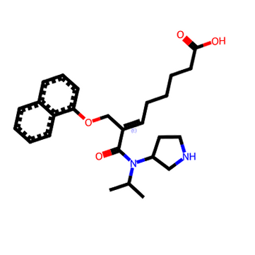 CC(C)N(C(=O)/C(=C/CCCCC(=O)O)COc1cccc2ccccc12)C1CCNC1